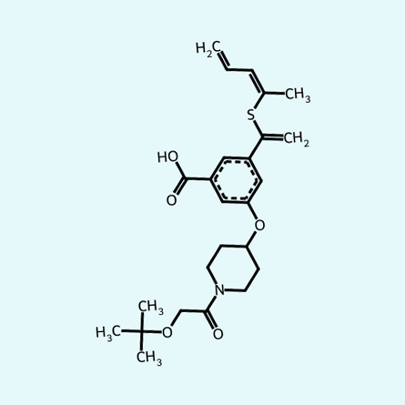 C=C/C=C(/C)SC(=C)c1cc(OC2CCN(C(=O)COC(C)(C)C)CC2)cc(C(=O)O)c1